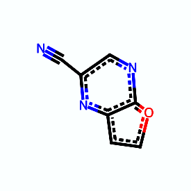 N#Cc1cnc2occc2n1